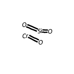 O=[Si]=O.[O]=[Cr]